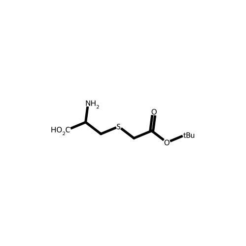 CC(C)(C)OC(=O)CSCC(N)C(=O)O